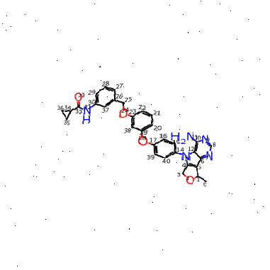 CC1OCc2c1c1ncnc(N)c1n2-c1ccc(Oc2cccc(OCc3cccc(NC(=O)C4CC4)c3)c2)cc1